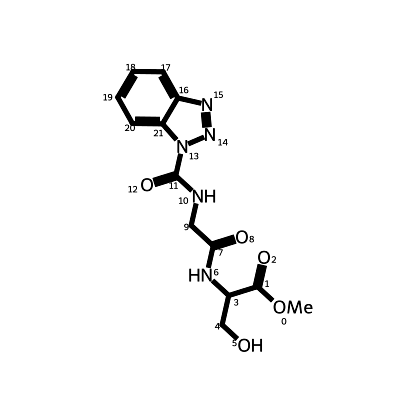 COC(=O)C(CO)NC(=O)CNC(=O)n1nnc2ccccc21